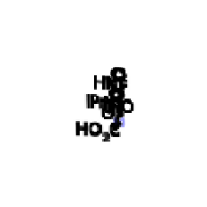 CC(C)n1c(=O)n(C/C=C/C(=O)O)c(=O)c2cc(F)c(NC3CCCCC3)cc21